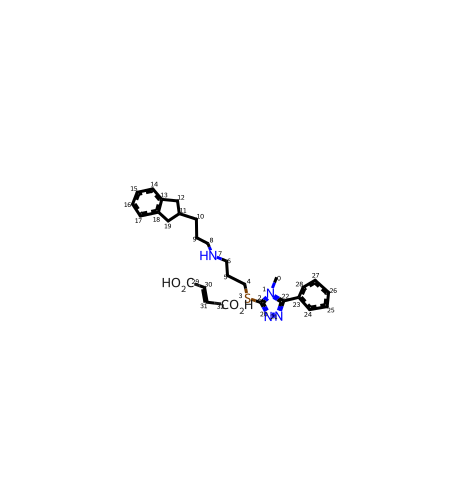 Cn1c(SCCCNCCCC2Cc3ccccc3C2)nnc1-c1ccccc1.O=C(O)C=CC(=O)O